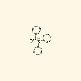 O=C(c1ccccc1)[SH](c1ccccc1)c1ccccc1